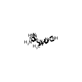 Cc1nn(-c2ccc(N3CCNCC3)nc2)nc1COc1cc(N)nc2[nH]nnc12